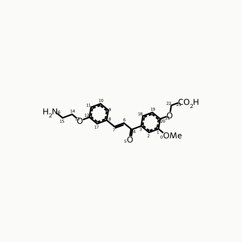 COc1cc(C(=O)C=Cc2cccc(OCCN)c2)ccc1OCC(=O)O